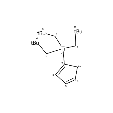 CC(C)(C)[CH2][Ti]([CH2]C(C)(C)C)([CH2]C(C)(C)C)[C]1=CC=CC1